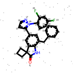 O=C1Nc2c(Cc3ccccc3)cc(-c3ccnn3-c3ccc(F)cc3F)cc2C12CCC2